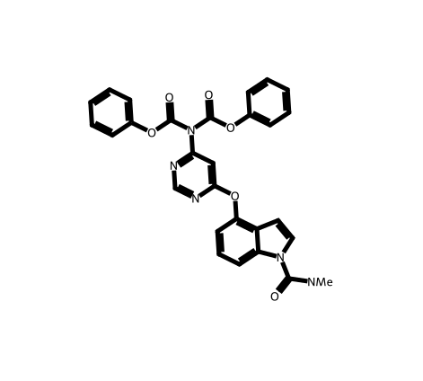 CNC(=O)n1ccc2c(Oc3cc(N(C(=O)Oc4ccccc4)C(=O)Oc4ccccc4)ncn3)cccc21